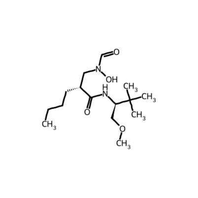 CCCC[C@H](CN(O)C=O)C(=O)N[C@H](COC)C(C)(C)C